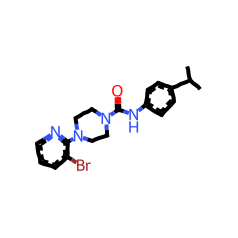 CC(C)c1ccc(NC(=O)N2CCN(c3ncccc3Br)CC2)cc1